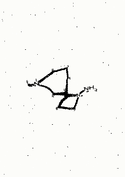 CN1CCCC2(CCN2N)C1